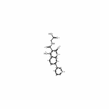 O=C(O)CNC(=O)c1c(O)c2ccc(-c3cccnc3)cc2oc1=O